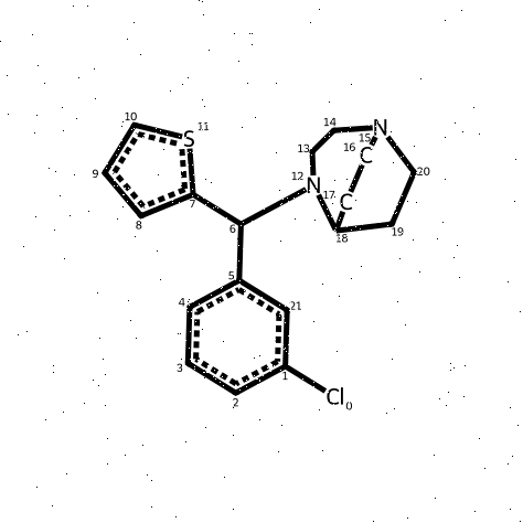 Clc1cccc(C(c2cccs2)N2CCN3CCC2CC3)c1